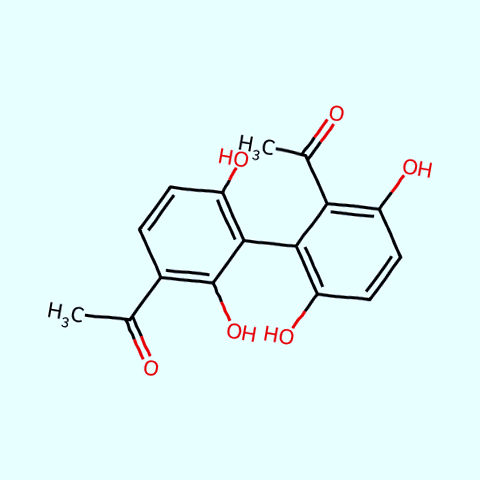 CC(=O)c1ccc(O)c(-c2c(O)ccc(O)c2C(C)=O)c1O